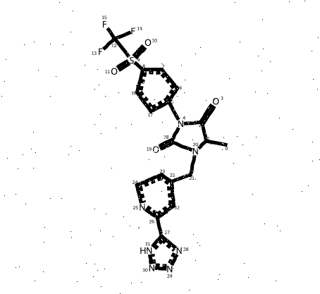 CC1C(=O)N(c2ccc(S(=O)(=O)C(F)(F)F)cc2)C(=O)N1Cc1ccnc(-c2nnn[nH]2)c1